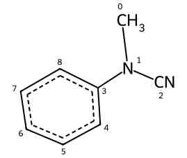 CN(C#N)c1ccccc1